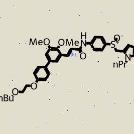 CCCCOCCOc1ccc(-c2cc(/C=C/C(=O)Nc3ccc([S+]([O-])Cc4cccn4CCC)cc3)c(OC)c(OC)c2)cc1